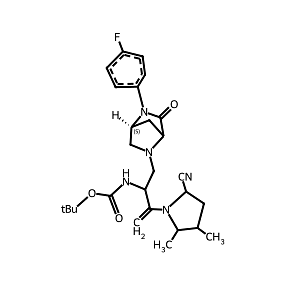 C=C(C(CN1C[C@@H]2CC1C(=O)N2c1ccc(F)cc1)NC(=O)OC(C)(C)C)N1C(C#N)CC(C)C1C